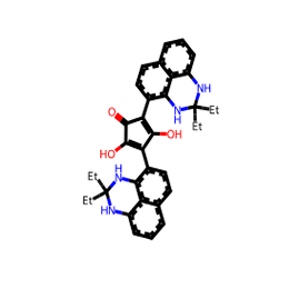 CCC1(CC)Nc2cccc3ccc(C4=C(O)C(c5ccc6cccc7c6c5NC(CC)(CC)N7)=C(O)C4=O)c(c23)N1